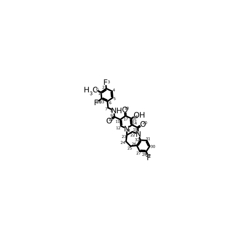 Cc1c(F)ccc(CNC(=O)c2cn3c(c(O)c2=O)C(=O)N2CC3CCc3cc(F)ccc32)c1F